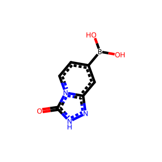 O=c1[nH]nc2cc(B(O)O)ccn12